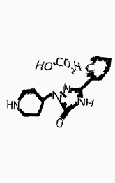 O=C(O)O.O=c1[nH]c(-c2ccccc2)nn1C1CCNCC1